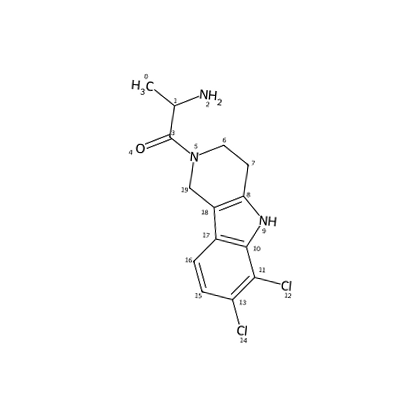 CC(N)C(=O)N1CCc2[nH]c3c(Cl)c(Cl)ccc3c2C1